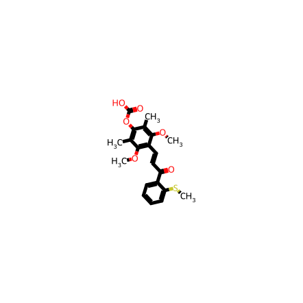 COc1c(C)c(OC(=O)O)c(C)c(OC)c1C=CC(=O)c1ccccc1SC